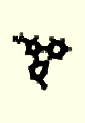 Cc1cc(-c2ccc(F)cc2)c(-c2ccncn2)s1